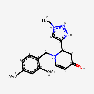 COc1ccc(CN2C=CC(=O)CC2c2cn(C)nn2)c(OC)c1